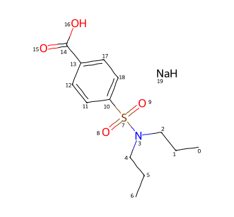 CCCN(CCC)S(=O)(=O)c1ccc(C(=O)O)cc1.[NaH]